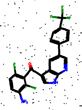 Nc1ccc(F)c(C(=O)c2c[nH]c3ncc(-c4ccc(C(F)(F)F)cc4)cc23)c1F